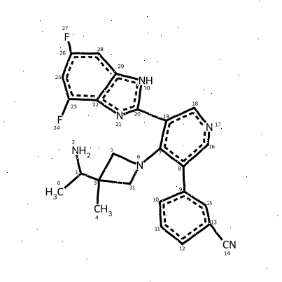 CC(N)C1(C)CN(c2c(-c3cccc(C#N)c3)cncc2-c2nc3c(F)cc(F)cc3[nH]2)C1